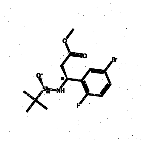 COC(=O)C[C@H](N[S@+]([O-])C(C)(C)C)c1cc(Br)ccc1F